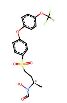 C[C@H](CCS(=O)(=O)c1ccc(Oc2ccc(OC(F)(F)F)cc2)cc1)N(O)C=O